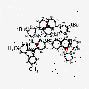 Cc1ccc2c(c1)c1cc(C)ccc1n2-c1ccc2c(c1)N(c1c(-c3ccccc3)cc(C(C)(C)C)cc1-c1ccccc1)c1cccc3c1B2c1ccc(-n2c4ccccc4c4ccccc42)cc1N3c1c(-c2ccccc2)cc(C(C)(C)C)cc1-c1ccccc1